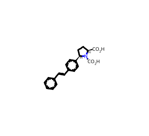 O=C(O)[C@@H]1CC[C@H](c2ccc(C=Cc3ccccc3)cc2)N1C(=O)O